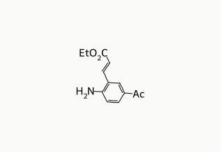 CCOC(=O)C=Cc1cc(C(C)=O)ccc1N